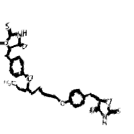 CCC(CCCCOc1ccc(/C=C2/OC(=S)NC2=O)cc1)Oc1ccc(/C=C2/OC(=S)NC2=O)cc1